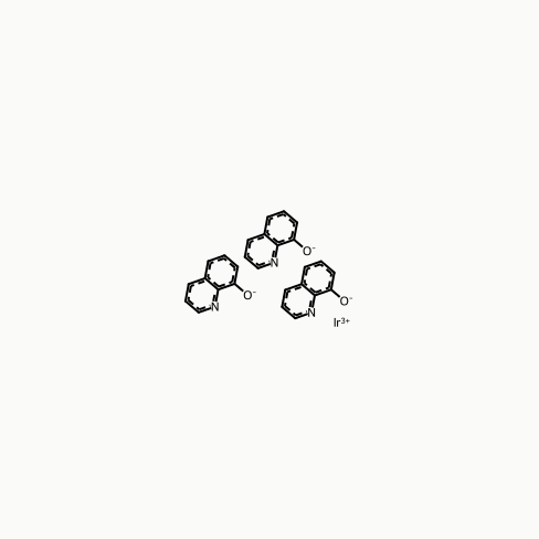 [Ir+3].[O-]c1cccc2cccnc12.[O-]c1cccc2cccnc12.[O-]c1cccc2cccnc12